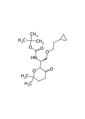 CC(C)(C)OC(=O)N[C@@H](COCCC1CC1)C1OC(C)(C)CCC1=O